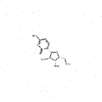 C=C1N=C(N)N=CN1[C@@H]1O[C@H](COC(C)=O)[C@H](OC(C)=O)C1OC(C)=O